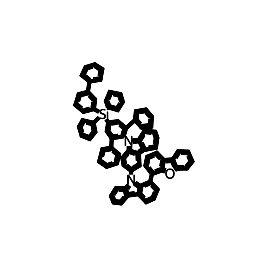 c1ccc(-c2cccc([Si](c3ccccc3)(c3ccccc3)c3cc(-c4ccccc4)c(-n4c5ccccc5c5cc(-n6c7ccccc7c7cccc(-c8cccc9c8oc8ccccc89)c76)ccc54)c(-c4ccccc4)c3)c2)cc1